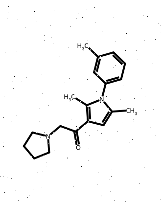 Cc1cccc(-n2c(C)cc(C(=O)CN3CCCC3)c2C)c1